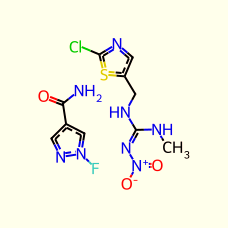 CN/C(=N\[N+](=O)[O-])NCc1cnc(Cl)s1.NC(=O)c1cnn(F)c1